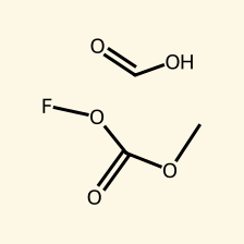 COC(=O)OF.O=CO